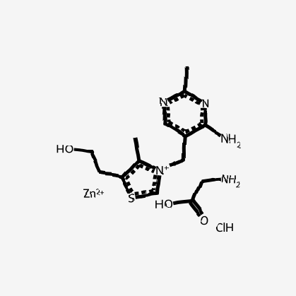 Cc1ncc(C[n+]2csc(CCO)c2C)c(N)n1.Cl.NCC(=O)O.[Zn+2]